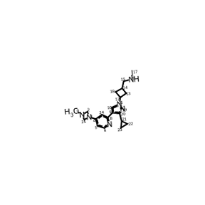 CN1CN(c2ccnc(-c3cn(C4CC(CNI)C4)nc3C3CC3)c2)C1